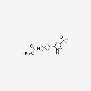 CC(C)(C)OC(=O)N1CC2(CC(c3cc(C4(O)CC4)n[nH]3)C2)C1